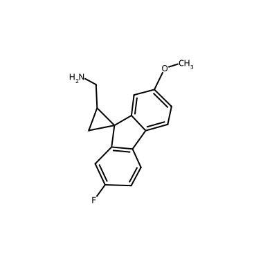 COc1ccc2c(c1)C1(CC1CN)c1cc(F)ccc1-2